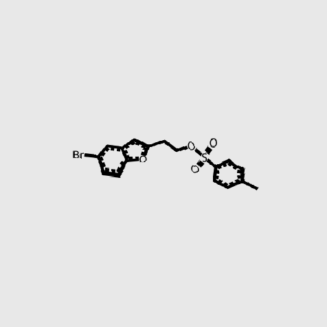 Cc1ccc(S(=O)(=O)OCCc2cc3cc(Br)ccc3o2)cc1